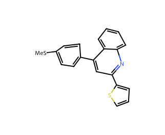 CSc1ccc(-c2cc(-c3cccs3)nc3ccccc23)cc1